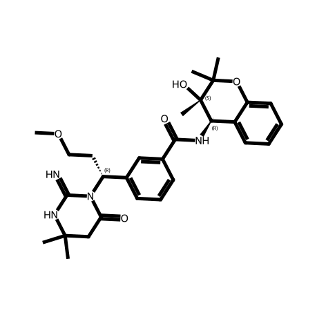 COCC[C@H](c1cccc(C(=O)N[C@@H]2c3ccccc3OC(C)(C)[C@@]2(C)O)c1)N1C(=N)NC(C)(C)CC1=O